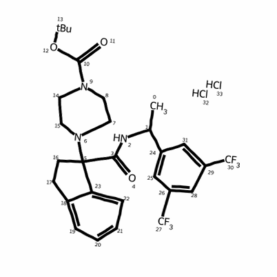 CC(NC(=O)C1(N2CCN(C(=O)OC(C)(C)C)CC2)CCc2ccccc21)c1cc(C(F)(F)F)cc(C(F)(F)F)c1.Cl.Cl